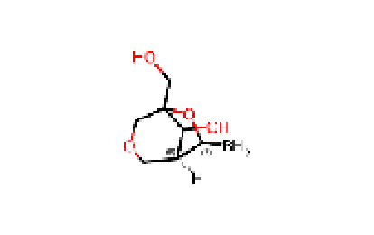 B[C@@H]1OC2(CO)COC[C@H]1C2O